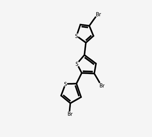 Brc1csc(-c2cc(Br)c(-c3cc(Br)cs3)s2)c1